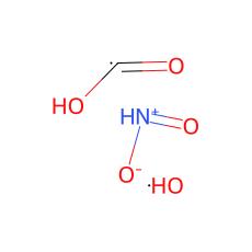 O=[C]O.O=[NH+][O-].[OH]